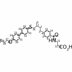 CC(CCc1ccc(C(=O)NCCC(=O)O)cc1)CSc1ccc(-c2ccc(OCCF)cc2)cc1